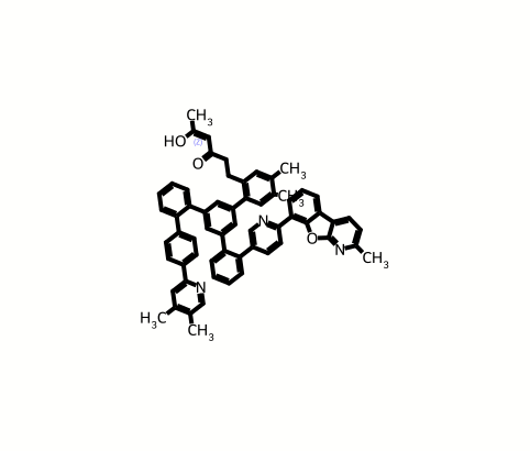 C/C(O)=C/C(=O)CCc1cc(C)c(C)cc1-c1cc(-c2ccccc2-c2ccc(-c3cc(C)c(C)cn3)cc2)cc(-c2ccccc2-c2ccc(-c3cccc4c3oc3nc(C)ccc34)nc2)c1